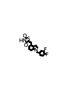 O=C1NC(=O)C(=Cc2cccc3c2ccn3Cc2ccc(F)c(F)c2)S1